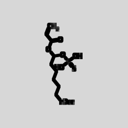 C=CC(=O)OC(CCCCCCCCCCCCCCC)OP(O)(O)=S